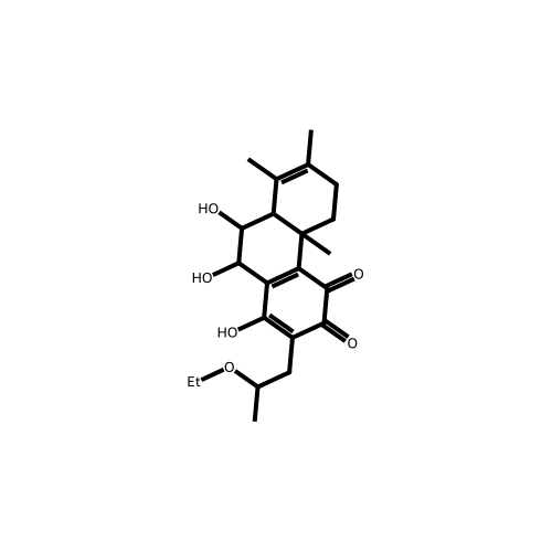 CCOC(C)CC1=C(O)C2=C(C(=O)C1=O)C1(C)CCC(C)=C(C)C1C(O)C2O